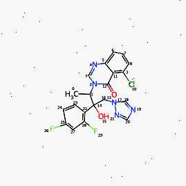 CC(n1cnc2cccc(Cl)c2c1=O)C(O)(Cn1cncn1)c1ccc(F)cc1F